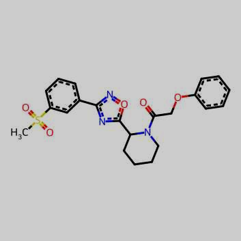 CS(=O)(=O)c1cccc(-c2noc(C3CCCCN3C(=O)COc3ccccc3)n2)c1